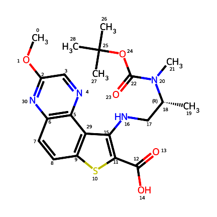 COc1cnc2c(ccc3sc(C(=O)O)c(NC[C@@H](C)N(C)C(=O)OC(C)(C)C)c32)n1